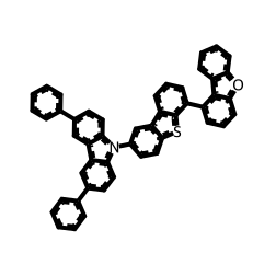 c1ccc(-c2ccc3c(c2)c2cc(-c4ccccc4)ccc2n3-c2ccc3sc4c(-c5cccc6oc7ccccc7c56)cccc4c3c2)cc1